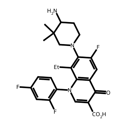 CCc1c(N2CCC(N)C(C)(C)C2)c(F)cc2c(=O)c(C(=O)O)cn(-c3ccc(F)cc3F)c12